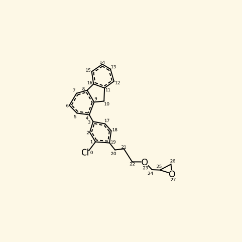 Clc1cc(-c2cccc3c2Cc2ccccc2-3)ccc1CCCOCC1CO1